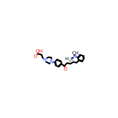 CN(C)c1ccccc1CCCCC(=O)c1ccc(N2CCN(CCC(=O)O)CC2)cc1